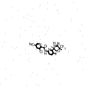 C[C@]1(c2nc(NC(=O)c3ncc(C#N)cc3Cl)ccc2F)CO[C@@](C)(C(F)(F)F)C(N)=N1